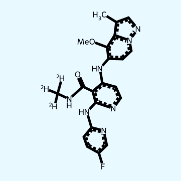 [2H]C([2H])([2H])NC(=O)c1c(Nc2ccn3ncc(C)c3c2OC)ccnc1Nc1ccc(F)cn1